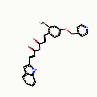 COc1cc(OCc2ccncc2)ccc1/C=C/C(=O)CC(=O)/C=C/c1cc2ccccc2[nH]1